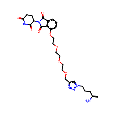 C=C(N)CCCn1cc(COCCOCCOCCOc2cccc3c2C(=O)N(C2CCC(=O)NC2=O)C3=O)nn1